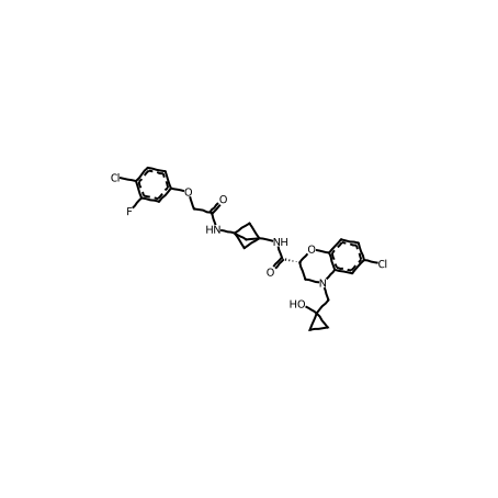 O=C(COc1ccc(Cl)c(F)c1)NC12CC(NC(=O)[C@H]3CN(CC4(O)CC4)c4cc(Cl)ccc4O3)(C1)C2